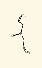 C=CCP(Cl)CC=C